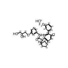 Cl.O=C(Nc1cncc(OCC(O)CO)n1)N1c2nc(-c3cccc(C(F)(F)F)c3)c(Cl)cc2N2CC[C@H]1C2